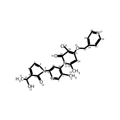 Cc1cnc(-n2cccc(C(C)O)c2=O)cc1-n1c(C)cc(OCc2ccncc2)c(Cl)c1=O